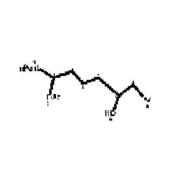 CCCCCC(CCCC(O)CC(C)=O)OC(C)=O